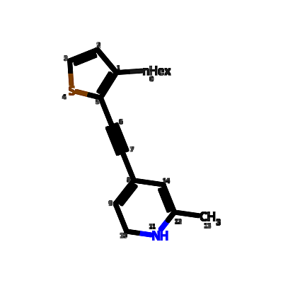 CCCCCCc1ccsc1C#CC1=CCNC(C)=C1